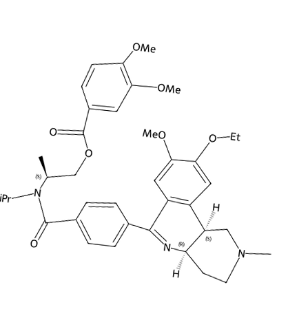 CCOc1cc2c(cc1OC)C(c1ccc(C(=O)N(C(C)C)[C@@H](C)COC(=O)c3ccc(OC)c(OC)c3)cc1)=N[C@@H]1CCN(C)C[C@H]21